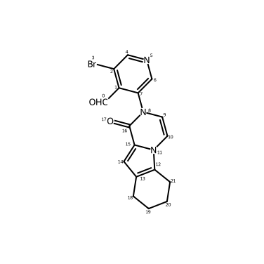 O=Cc1c(Br)cncc1-n1ccn2c3c(cc2c1=O)CCCC3